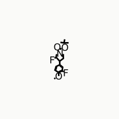 COc1ccc(C2CCN(C(=O)OC(C)(C)C)CC2F)cc1F